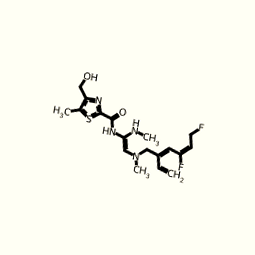 C=C/C(=C\C(F)=C/CF)CN(C)/C=C(\NC)NC(=O)c1nc(CO)c(C)s1